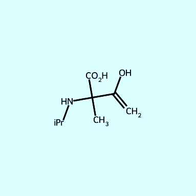 C=C(O)C(C)(NC(C)C)C(=O)O